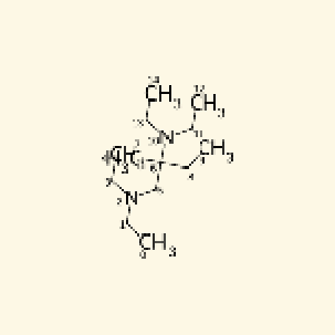 CCN(CC)CC(C)(CC)N(CC)CC